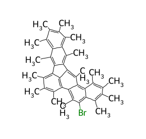 Cc1c(C)c(C)c2c(C)c3c(c(C)c2c1C)-c1c(C)c(C)c(C)c2c1c-3c(C)c1c3c(C)c(C)c(C)c(C)c3c(Br)c(C)c21